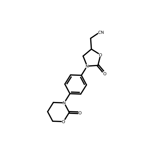 N#CCC1CN(c2ccc(N3CCCOC3=O)cc2)C(=O)O1